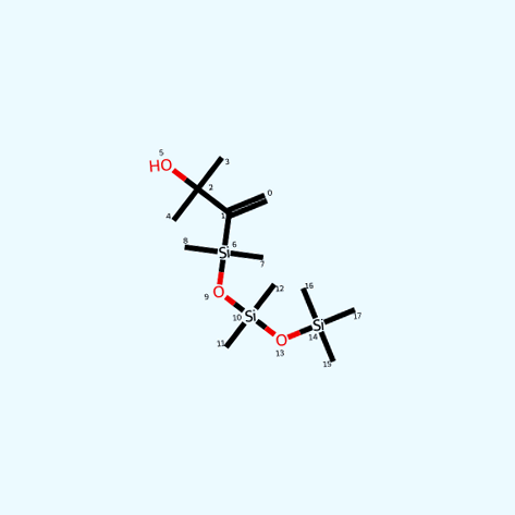 C=C(C(C)(C)O)[Si](C)(C)O[Si](C)(C)O[Si](C)(C)C